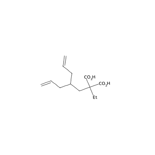 C=CCC(CC=C)CC(CC)(C(=O)O)C(=O)O